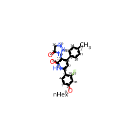 CCCCCCOc1ccc(-c2cc(-c3ccc(C)cc3)c(N3N=NCC3=O)c(=O)[nH]2)c(F)c1